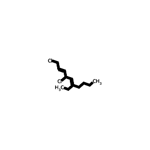 CCCCC(=CC(Cl)C=CCCl)CC